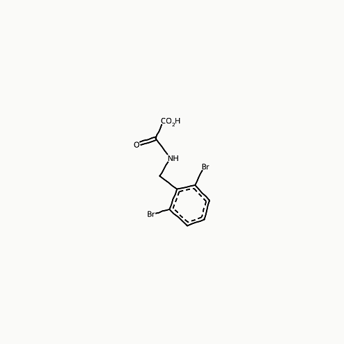 O=C(O)C(=O)NCc1c(Br)cccc1Br